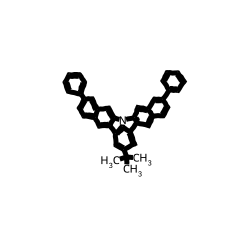 CC(C)(C)c1cc2c3cc4ccc(-c5ccccc5)cc4cc3n3c4cc5cc(-c6ccccc6)ccc5cc4c(c1)c23